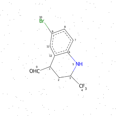 O=CC1CC(C(F)(F)F)Nc2ccc(Br)cc21